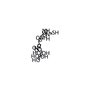 NCC(CNC(=O)OCc1ccc(O/C=C(/O)C(O)[C@@H](O)C(O)CO)c([N+](=O)[O-])c1)OC(=O)NCCS